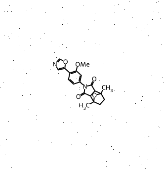 COc1cc(N2C(=O)C3C(C2=O)C2(C)CCC3(C)O2)ccc1-c1cnco1